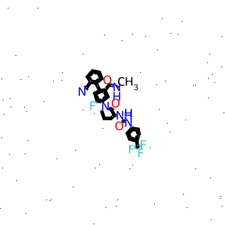 CNC(=O)c1cc(N2CCCC(NC(=O)Nc3ccc(C(F)(F)F)cc3)C2=O)c(F)cc1-c1ccccc1C#N